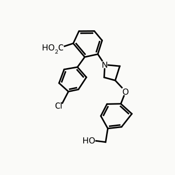 O=C(O)c1cccc(N2CC(Oc3ccc(CO)cc3)C2)c1-c1ccc(Cl)cc1